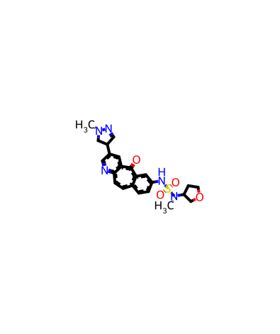 CN1CC(c2cnc3ccc4ccc(NS(=O)(=O)N(C)C5CCOC5)cc4c(=O)c3c2)C=N1